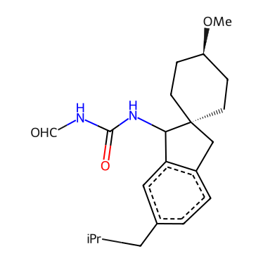 CO[C@H]1CC[C@]2(CC1)Cc1ccc(CC(C)C)cc1C2NC(=O)NC=O